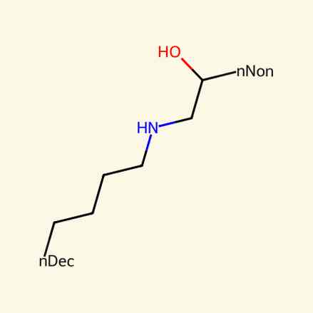 CCCCCCCCCCCCCCNCC(O)CCCCCCCCC